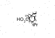 C=CC1(C)C=CC(C(C)C)C[C@@]1(C)C(=O)O